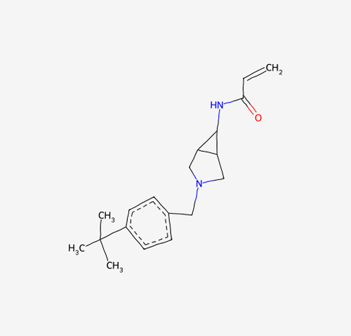 C=CC(=O)NC1C2CN(Cc3ccc(C(C)(C)C)cc3)CC21